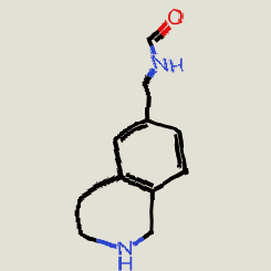 O=CNCc1ccc2c(c1)CCNC2